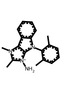 Cc1cccc(C)c1-n1c2ccccc2c2c1[n+](N)c(C)n2C